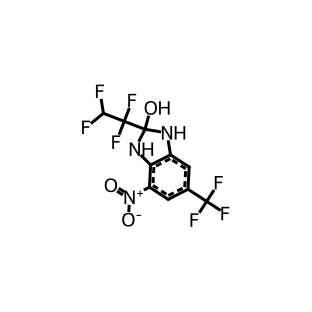 O=[N+]([O-])c1cc(C(F)(F)F)cc2c1NC(O)(C(F)(F)C(F)F)N2